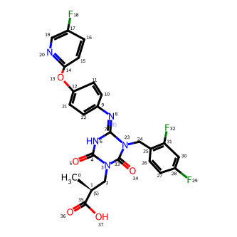 C[C@@H](Cn1c(=O)[nH]/c(=N\c2ccc(Oc3ccc(F)cn3)cc2)n(Cc2ccc(F)cc2F)c1=O)C(=O)O